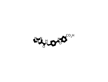 O=C(O)c1ccc2oc(-c3ccc(CNC(=O)c4cnc5nccn5c4)cc3)nc2c1